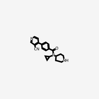 N#Cc1cnccc1-c1ccc(C(=O)N(C2CCNCC2)C2CC2)cc1